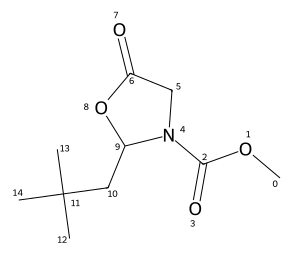 COC(=O)N1CC(=O)OC1CC(C)(C)C